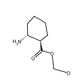 N[C@@H]1CCCC[C@H]1C(=O)OCCl